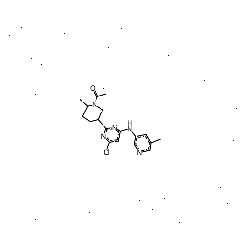 CC(=O)N1CC(c2nc(Cl)cc(Nc3cncc(C)c3)n2)CCC1C